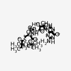 CCC(C)(C)C(=O)SCCOP(=O)(NCC(=O)OC(C)(C)C)OC[C@H]1O[C@@H](n2cnc3c(=O)[nH]c(N)nc32)[C@](C)(O)[C@@H]1O